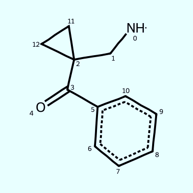 [NH]CC1(C(=O)c2ccccc2)CC1